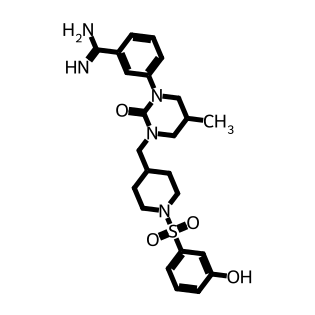 CC1CN(CC2CCN(S(=O)(=O)c3cccc(O)c3)CC2)C(=O)N(c2cccc(C(=N)N)c2)C1